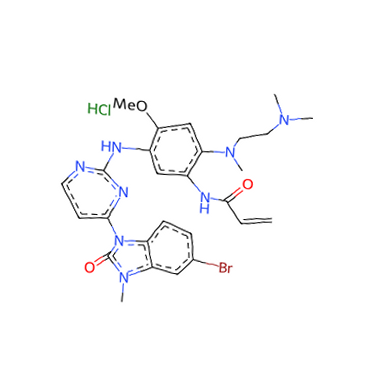 C=CC(=O)Nc1cc(Nc2nccc(-n3c(=O)n(C)c4cc(Br)ccc43)n2)c(OC)cc1N(C)CCN(C)C.Cl